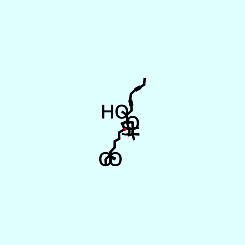 CCC#CCC#CCC(O)C(CCCCCCCC(=O)OC)O[Si](C)(C)C(C)(C)C